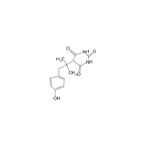 CC(C)(Cc1ccc(O)cc1)C1C(=O)NC(=O)NC1=O